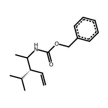 C=C[C@H](C(C)C)C(C)NC(=O)OCc1ccccc1